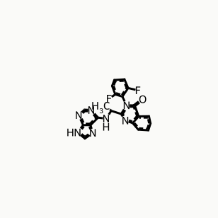 CC(Nc1ncnc2[nH]cnc12)c1nc2ccccc2c(=O)n1-c1c(F)cccc1F